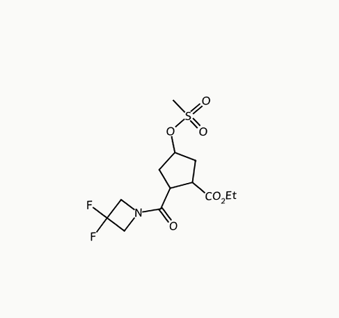 CCOC(=O)C1CC(OS(C)(=O)=O)CC1C(=O)N1CC(F)(F)C1